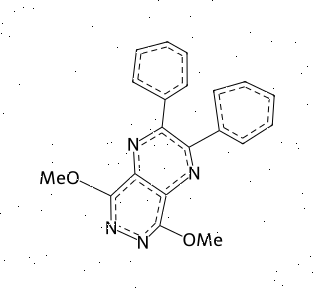 COc1nnc(OC)c2nc(-c3ccccc3)c(-c3ccccc3)nc12